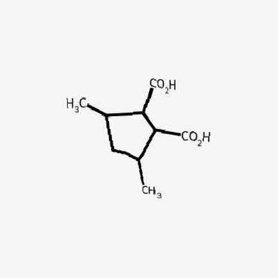 CC1CC(C)C(C(=O)O)C1C(=O)O